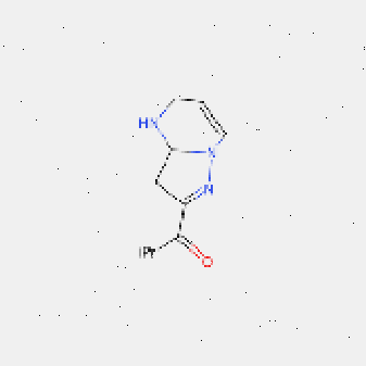 CC(C)C(=O)C1=NN2C=CCNC2C1